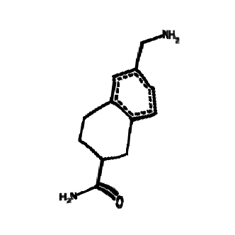 NCc1ccc2c(c1)CCC(C(N)=O)C2